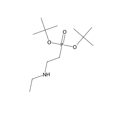 CCNCCP(=O)(OC(C)(C)C)OC(C)(C)C